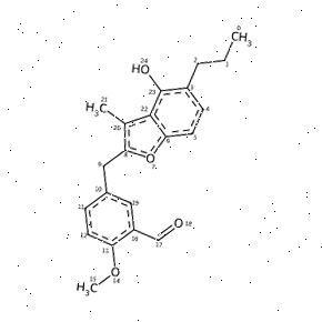 CCCc1ccc2oc(Cc3ccc(OC)c(C=O)c3)c(C)c2c1O